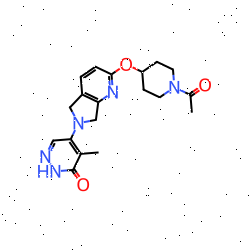 CC(=O)N1CCC(Oc2ccc3c(n2)CN(c2cn[nH]c(=O)c2C)C3)CC1